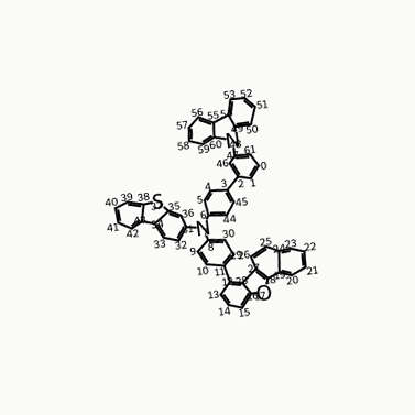 c1cc(-c2ccc(N(c3ccc(-c4cccc5oc6c7ccccc7ccc6c45)cc3)c3ccc4c(c3)sc3ccccc34)cc2)cc(-n2c3ccccc3c3ccccc32)c1